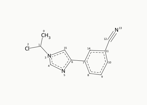 CC(Cl)n1cnc(-c2cccc(C#N)c2)c1